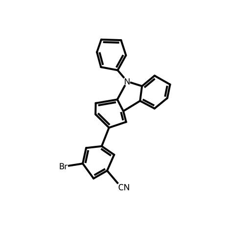 N#Cc1cc(Br)cc(-c2ccc3c(c2)c2ccccc2n3-c2ccccc2)c1